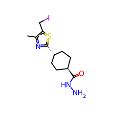 Cc1nc([C@H]2CC[C@H](C(=O)NN)CC2)sc1CI